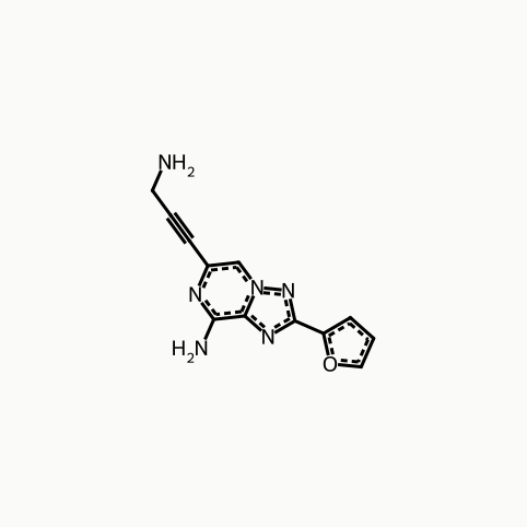 NCC#Cc1cn2nc(-c3ccco3)nc2c(N)n1